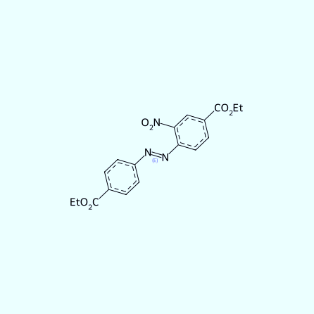 CCOC(=O)c1ccc(/N=N/c2ccc(C(=O)OCC)cc2[N+](=O)[O-])cc1